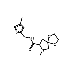 Cc1csc(CNC(=O)C2CC3(CN2C)OCCO3)c1